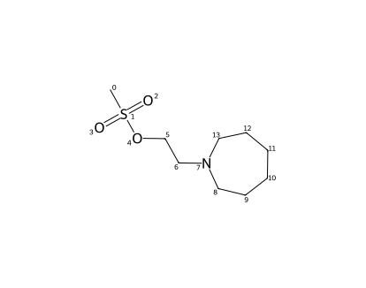 CS(=O)(=O)OCCN1CCCCCC1